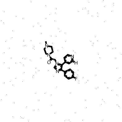 [2H]c1cc(-c2c(-c3ccc(F)cc3)ncn2CC(=O)N2CCN(C)CC2)ccn1